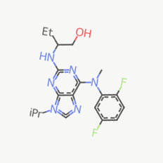 CCC(CO)Nc1nc(N(C)c2cc(F)ccc2F)c2ncn(C(C)C)c2n1